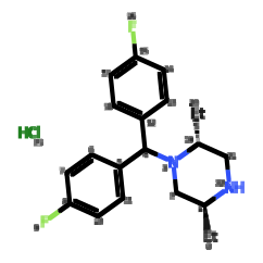 CC[C@H]1CN(C(c2ccc(F)cc2)c2ccc(F)cc2)[C@H](CC)CN1.Cl